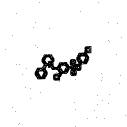 O=S(=O)(Oc1ccc(Cl)cc1)c1ccc(CN2CCCCC2c2ccccc2)c(Cl)c1